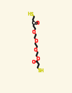 O=C(CCS)OCCOCCOCCOC[CH2][Co](=[O])[CH2]CS